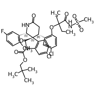 CCC(CC)(Oc1ccc(Cl)cc1[C@H]1CC(=O)N[C@@H](c2cc(F)ccc2C)[C@]12C(=O)N(C(=O)OCC(C)(C)C)c1cc(Cl)ccc12)C(=O)NS(C)(=O)=O